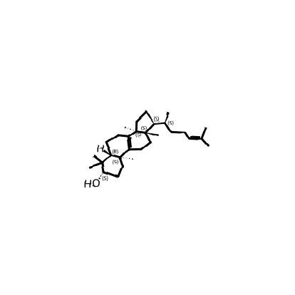 CC(C)=CCC[C@H](C)[C@@H]1CC[C@]2(C)C3=C(CC[C@@]12C)[C@@]1(C)CC[C@H](O)C(C)(C)[C@@H]1CC3